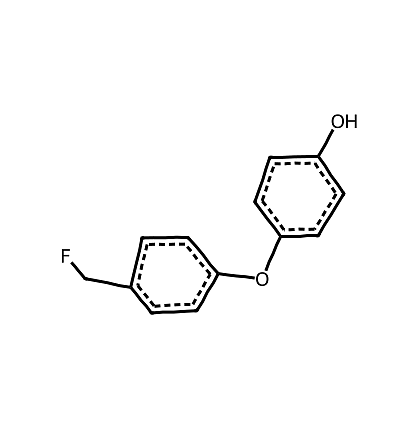 Oc1ccc(Oc2ccc(CF)cc2)cc1